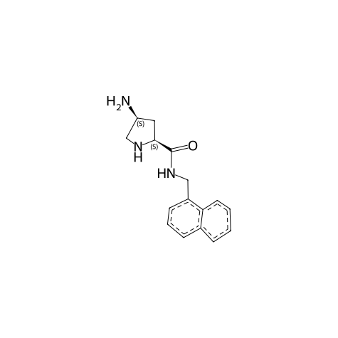 N[C@@H]1CN[C@H](C(=O)NCc2cccc3ccccc23)C1